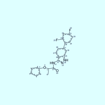 CC(Oc1ccccc1)C(=O)Nc1n[nH]c2cc(-c3ccc(F)cc3F)ccc12